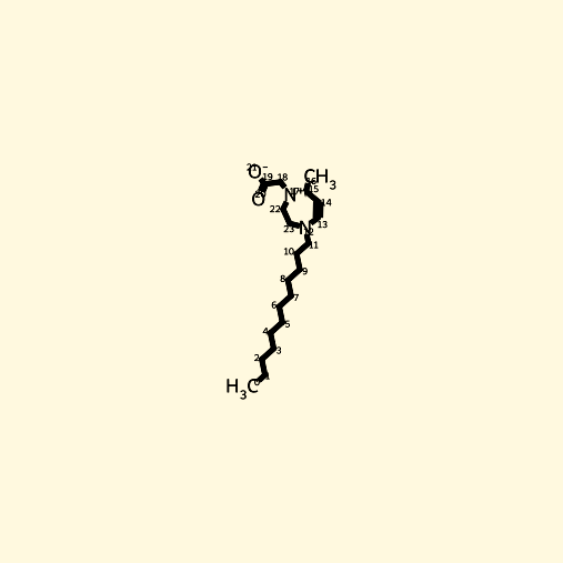 CCCCCCCCCCCCN1C#CC(C)=[N+](CC(=O)[O-])CC1